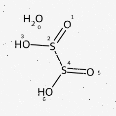 O.O=S(O)S(=O)O